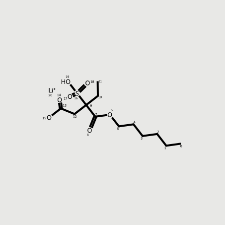 CCCCCCOC(=O)C(CC)(CC(=O)[O-])S(=O)(=O)O.[Li+]